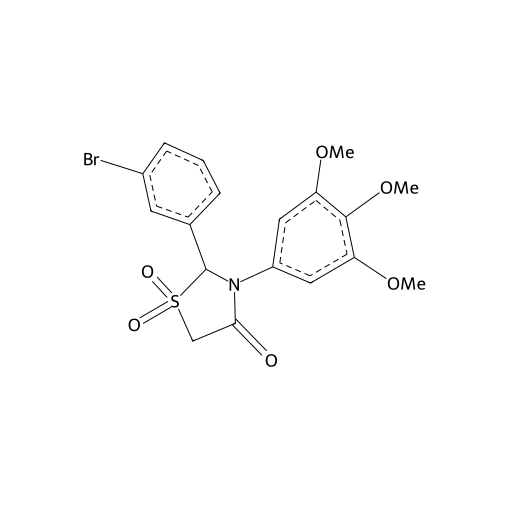 COc1cc(N2C(=O)CS(=O)(=O)C2c2cccc(Br)c2)cc(OC)c1OC